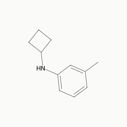 Cc1cccc(NC2CCC2)c1